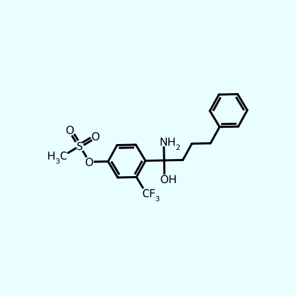 CS(=O)(=O)Oc1ccc(C(N)(O)CCCc2ccccc2)c(C(F)(F)F)c1